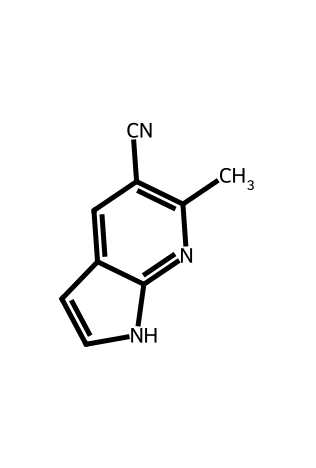 Cc1nc2[nH]ccc2cc1C#N